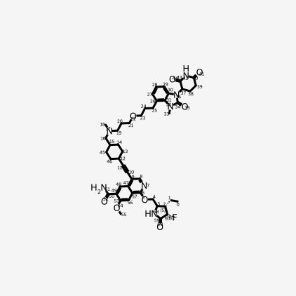 CC[C@H]1C(COc2ncc(C#CC3CCC(CN(C)CCCOCCCc4cccc5c4n(C)c(=O)n5C4CCC(=O)NC4=O)CC3)c3cc(C(N)=O)c(OC)cc23)NC(=O)[C@H]1F